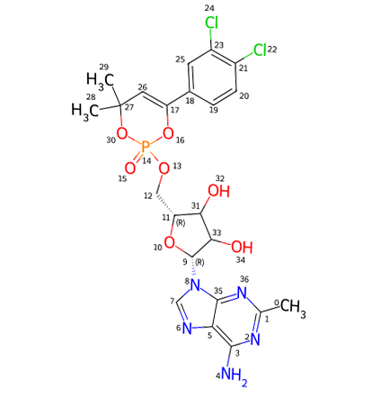 Cc1nc(N)c2ncn([C@@H]3O[C@H](COP4(=O)OC(c5ccc(Cl)c(Cl)c5)=CC(C)(C)O4)C(O)C3O)c2n1